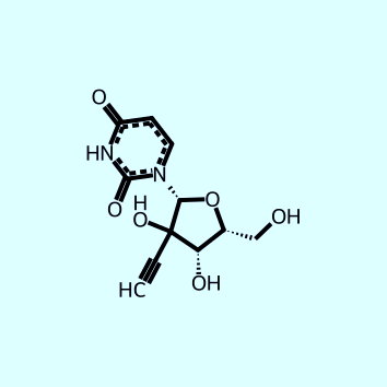 C#CC1(O)[C@@H](O)[C@@H](CO)O[C@H]1n1ccc(=O)[nH]c1=O